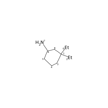 CCC1(CC)CCCC(N)C1